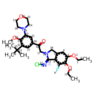 CCOc1cc2c(c(F)c1OCC)/C(=N/Cl)N(CC(=O)c1cc(N3CCOCC3)c(OC)c(C(C)(C)C)c1)C2